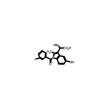 CCCCC(C(=O)O)c1c(C)n(C(=O)c2cccc(F)c2)c2ccc(O)cc12